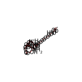 CO[C@H]1/C=C/O[C@@]2(C)Oc3c(C)c(O)c4c(=O)c(c5oc6cc(OCC[N+](C)(C)Cc7ccc(NC(=O)[C@H](CCCNC(N)=O)NC(=O)[C@@H](NC(=O)CCOCCOCCOCCOCCOCCOCCOCCOCCNC(=O)CCN8C(=O)C9C%10C=C(C(C)C)C(C%10)C9C8=O)C(C)C)cc7)ccc6nc-5c4c3C2=O)NC(=O)/C(C)=C\C=C\[C@H](C)[C@H](O)[C@@H](C)[C@@H](C)[C@@H](C)[C@H](OC(C)=O)[C@@H]1C